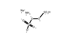 N.O=S(=O)([O-])OOS(=O)(=O)O.[Na+]